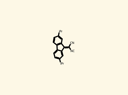 [C-]#[N+]C(C#N)=C1c2cc(C(C)C)ccc2-c2ccc(C(C)C)cc21